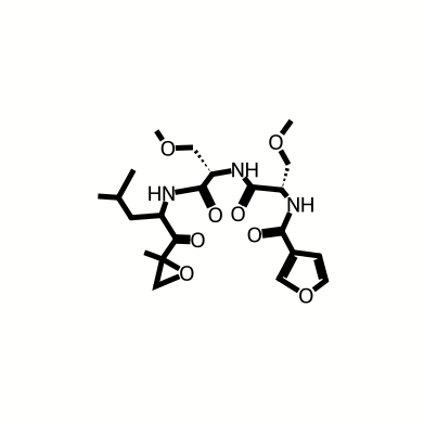 COC[C@H](NC(=O)c1ccoc1)C(=O)N[C@@H](COC)C(=O)NC(CC(C)C)C(=O)C1(C)CO1